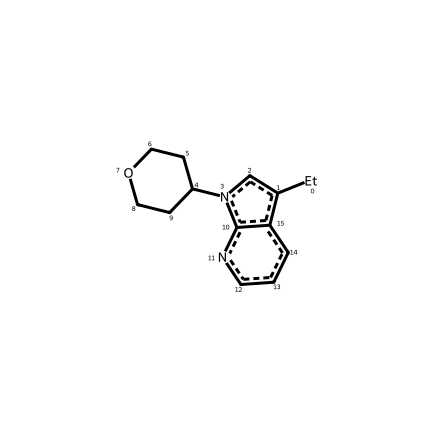 CCc1cn(C2CCOCC2)c2ncccc12